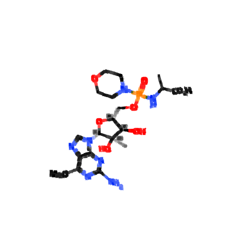 COc1nc(N)nc2c1ncn2[C@@H]1O[C@H](COP(=O)(NC(C)C(=O)O)N2CCOCC2)[C@@H](O)[C@@]1(C)O